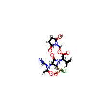 C=C(C)C(C(=O)OCN1C(=O)CCC1=O)N1C(=O)C(N(C#N)C(C)=O)C1[S+]([O-])Cl